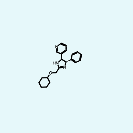 c1ccc([C@H]2N=C(COC3CCCCC3)N[C@H]2c2cccnc2)cc1